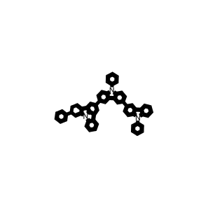 C1=c2c(n3c4ccccc4c4cc(-c5ccc6c(c5)c5cc(-c7ccc8c(c7)c7ccccc7n8-c7ccccc7)ccc5n6-c5ccccc5)cc2c43)=CC(c2ccccc2)C1